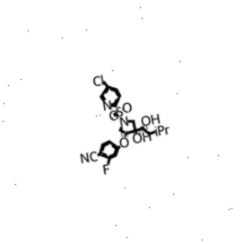 CC(C)C[C@H](O)[C@]1(O)CN(S(=O)(=O)c2ccc(Cl)cn2)C[C@@H]1Oc1ccc(C#N)c(F)c1